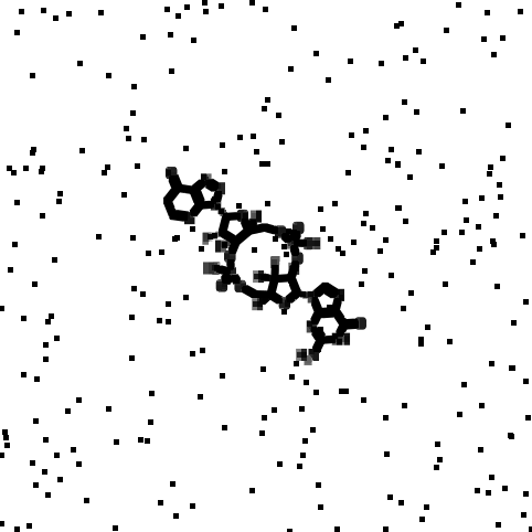 Nc1nc2c(ncn2[C@@H]2O[C@@H]3COP(=O)(S)O[C@H]4[C@H](F)[C@H](n5nnc6c5N=CCC6=O)O[C@@H]4COP(=O)(S)O[C@@H]2[C@H]3F)c(=O)[nH]1